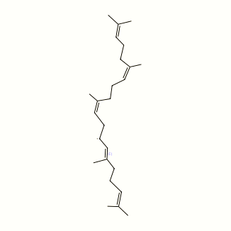 CC(C)=CCCC(C)=CCCC(C)=CC[CH]/C=C(\C)CCC=C(C)C